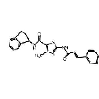 Cc1nc(NC(=O)C=Cc2ccccc2)sc1C(=O)NC1CCc2ccccc21